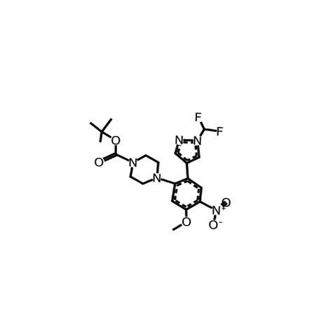 COc1cc(N2CCN(C(=O)OC(C)(C)C)CC2)c(-c2cnn(C(F)F)c2)cc1[N+](=O)[O-]